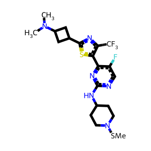 CSN1CCC(Nc2ncc(F)c(-c3sc(C4CC(N(C)C)C4)nc3C(F)(F)F)n2)CC1